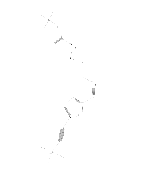 CC(C)(C)OC(=O)NCCC/N=C\c1ccc(C#C[Si](C)(C)C)o1